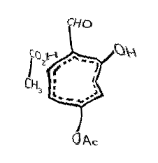 CC(=O)O.CC(=O)Oc1ccc(C=O)c(O)c1